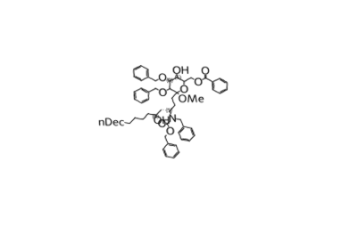 CCCCCCCCCCCCCC[C@@H](O)C[C@H](CCC1(OC)OC(COC(=O)c2ccccc2)[C@H](O)[C@@H](OCc2ccccc2)C1OCc1ccccc1)N(Cc1ccccc1)C(=O)OCc1ccccc1